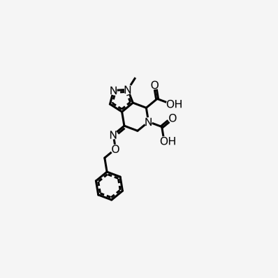 Cn1ncc2c1C(C(=O)O)N(C(=O)O)C/C2=N\OCc1ccccc1